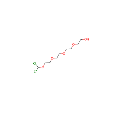 OCCOCCOCCOCCOC(Cl)Cl